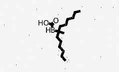 CCCCCCC(C)(BC(=O)O)CCCCCC